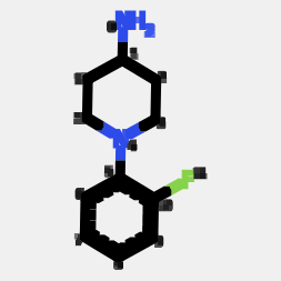 NC1CCN(c2ccccc2F)CC1